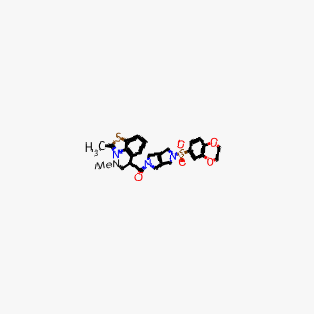 CNCC(C(=O)N1CC2=C(C1)CN(S(=O)(=O)c1ccc3c(c1)OCCO3)C2)c1cccc2sc(C)nc12